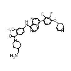 Cc1cc(Nc2nccn3c(-c4ccc(OC5C=CN=CC5)c(F)c4F)cnc23)ccc1C(=O)N1CCC(CN)CC1